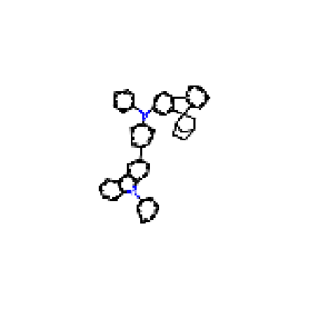 c1ccc(N(c2ccc(-c3ccc4c(c3)c3ccccc3n4-c3ccccc3)cc2)c2ccc3c(c2)C2(CC4CCC2C4)c2ccccc2-3)cc1